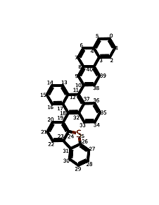 c1ccc2c(c1)ccc1cc(-c3c4ccccc4c(-c4cccc5c4sc4ccccc45)c4ccccc34)ccc12